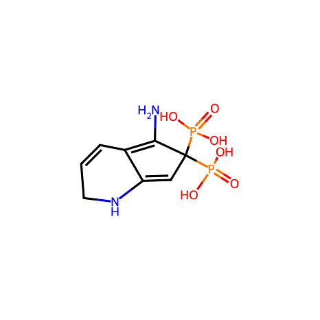 NC1=C2C=CCNC2=CC1(P(=O)(O)O)P(=O)(O)O